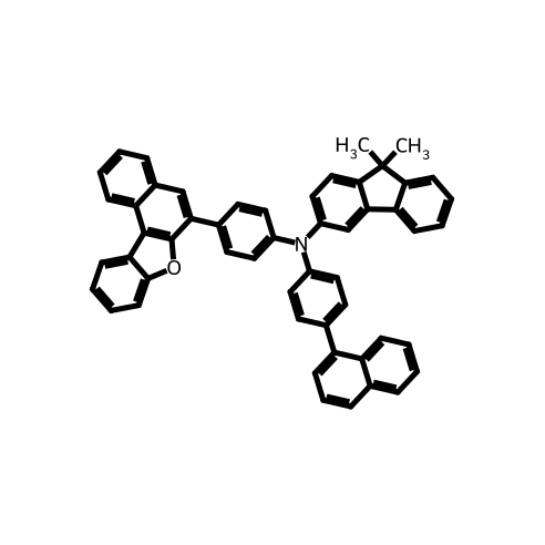 CC1(C)c2ccccc2-c2cc(N(c3ccc(-c4cccc5ccccc45)cc3)c3ccc(-c4cc5ccccc5c5c4oc4ccccc45)cc3)ccc21